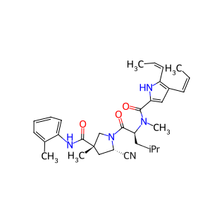 C/C=C\c1cc(C(=O)N(C)[C@@H](CC(C)C)C(=O)N2C[C@@](C)(C(=O)Nc3ccccc3C)C[C@H]2C#N)[nH]c1/C=C\C